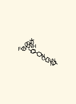 Cc1cnc(N2CCC(ON=C3CCC(c4ccc(C[C@H](NC(=O)OC(C)(C)C)C(=O)N5CCC(F)C5)cc4)CC3)CC2)nc1